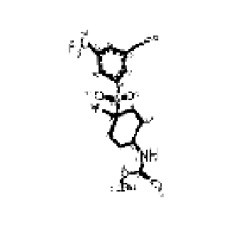 CC(C)(C)OC(=O)NC1CCC(F)(S(=O)(=O)c2cc(F)cc(C(F)(F)F)c2)CC1